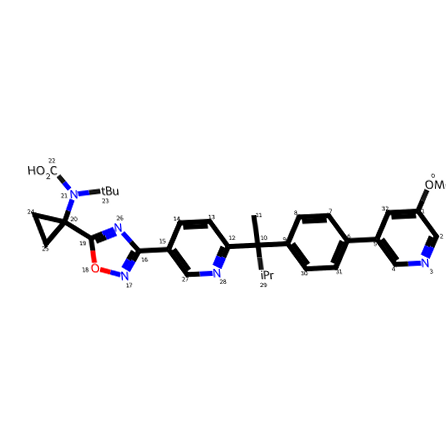 COc1cncc(-c2ccc(C(C)(c3ccc(-c4noc(C5(N(C(=O)O)C(C)(C)C)CC5)n4)cn3)C(C)C)cc2)c1